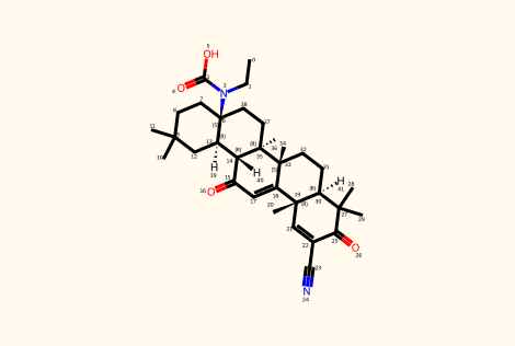 CCN(C(=O)O)[C@]12CCC(C)(C)C[C@@H]1[C@H]1C(=O)C=C3[C@@]4(C)C=C(C#N)C(=O)C(C)(C)[C@@H]4CC[C@@]3(C)[C@]1(C)CC2